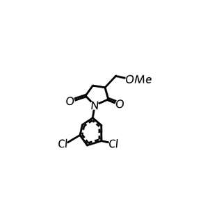 COCC1CC(=O)N(c2cc(Cl)cc(Cl)c2)C1=O